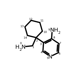 NCC1(c2cnccc2N)CCCCC1